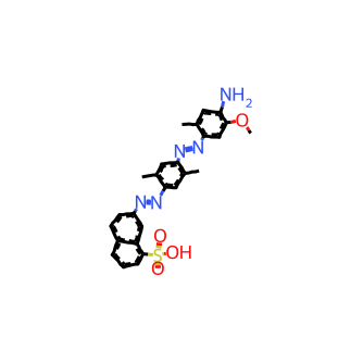 COc1cc(N=Nc2cc(C)c(N=Nc3ccc4cccc(S(=O)(=O)O)c4c3)cc2C)c(C)cc1N